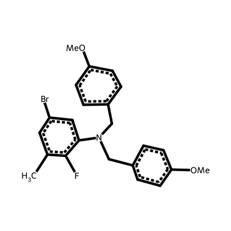 COc1ccc(CN(Cc2ccc(OC)cc2)c2cc(Br)cc(C)c2F)cc1